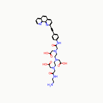 NCCNC(=O)CN(CCN(CCN(CC(=O)O)CC(=O)Nc1ccc(C#Cc2ccc3ccc4cccnc4c3n2)cc1)CC(=O)O)CC(=O)O